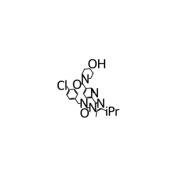 Cc1c(C(C)C)nc2c3ncc(C(=O)N4CCC(O)CC4)cc3n(Cc3ccc(Cl)cc3)c(=O)n12